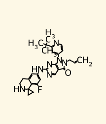 C=CCn1c(=O)c2cnc(Nc3cc(F)c4c(c3)CCNC43CC3)nc2n1-c1ccnc(C(C)(C)C)c1